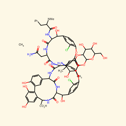 C.CNC(CC(C)C)C(=O)NC1C(=O)NC(CC(N)=O)C(=O)NC2C(=O)NC3C(=O)NC(C(=O)NC(C(=O)O)c4cc(O)cc(O)c4-c4cc3ccc4O)C(O)c3ccc(c(Cl)c3)Oc3cc2cc(c3OC2OC(CO)C(O)C(O)C2OC2CC(C)(N)C(O)C(C)O2)Oc2ccc(cc2Cl)C1O